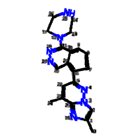 Cc1cn2nc(-c3cccc4c(N5CCNCC5)nncc34)cc(C)c2n1